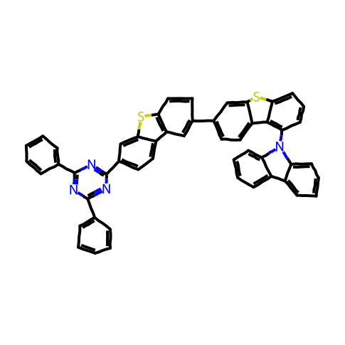 c1ccc(-c2nc(-c3ccccc3)nc(-c3ccc4c(c3)sc3ccc(-c5ccc6c(c5)sc5cccc(-n7c8ccccc8c8ccccc87)c56)cc34)n2)cc1